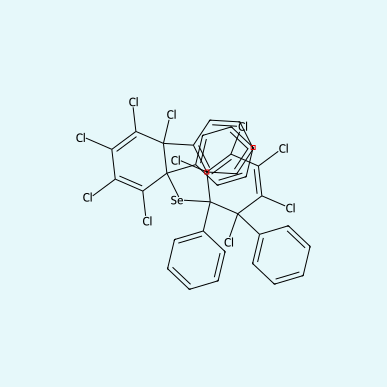 ClC1=C(Cl)C(Cl)(c2ccccc2)C([Se]C2(c3ccccc3)C(Cl)=C(Cl)C(Cl)=C(Cl)C2(Cl)c2ccccc2)(c2ccccc2)C(Cl)=C1Cl